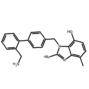 CCCCc1nc2c(C)ccc(O)c2n1Cc1ccc(-c2ccccc2CN)cc1